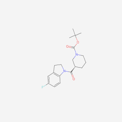 CC(C)(C)OC(=O)N1CCC[C@@H](C(=O)N2CCc3cc(F)ccc32)C1